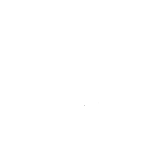 CC(C)(C)NC(=O)OCCSCCF